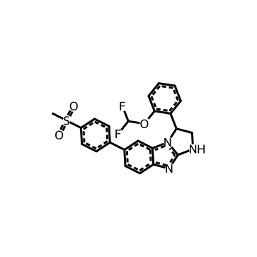 CS(=O)(=O)c1ccc(-c2ccc3nc4n(c3c2)C(c2ccccc2OC(F)F)CN4)cc1